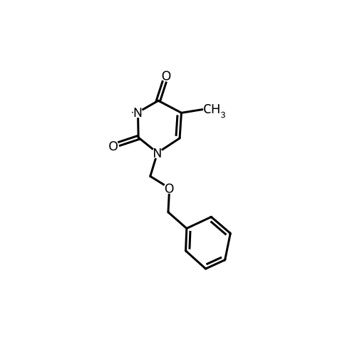 CC1=CN(COCc2ccccc2)C(=O)[N]C1=O